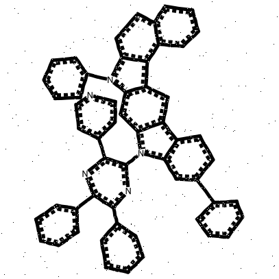 c1ccc(-c2ccc3c4cc5c6c7ccccc7ccc6n(-c6ccccc6)c5cc4n(-c4nc(-c5ccccc5)c(-c5ccccc5)nc4-c4ccncc4)c3c2)cc1